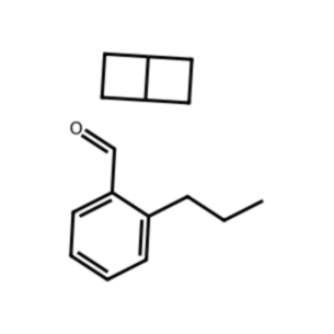 C1CC2CCC12.CCCc1ccccc1C=O